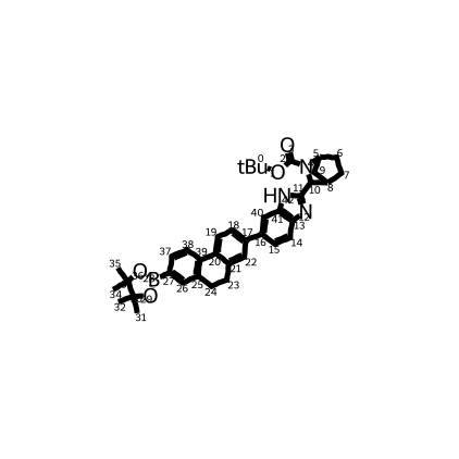 CC(C)(C)OC(=O)N1C2CCC(C2)C1c1nc2ccc(-c3ccc4c(c3)CCc3cc(B5OC(C)(C)C(C)(C)O5)ccc3-4)cc2[nH]1